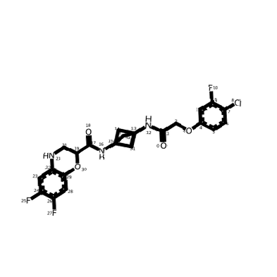 O=C(COc1ccc(Cl)c(F)c1)NC12CC(NC(=O)C3CNc4cc(F)c(F)cc4O3)(C1)C2